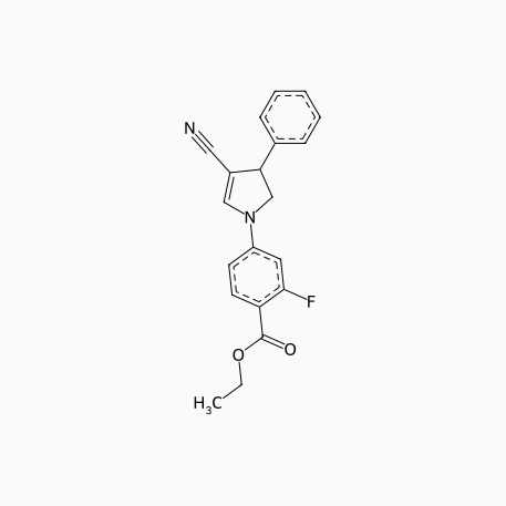 CCOC(=O)c1ccc(N2C=C(C#N)C(c3ccccc3)C2)cc1F